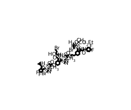 CCOC(=O)C(C)(C)Sc1nnc(Br)n1-c1sc(C(=O)Nc2ccc(F)c(F)c2)c2c1CC(CCOC(=O)C(C)(C)Sc1nncn1-c1sc(C(=O)NC(O)CCBr)c3c1CCC(OC(=O)C(C)(C)Sc1nnc(Br)n1-c1sc(C4CC4)c4c1CC(F)(F)C4)C3)CC2